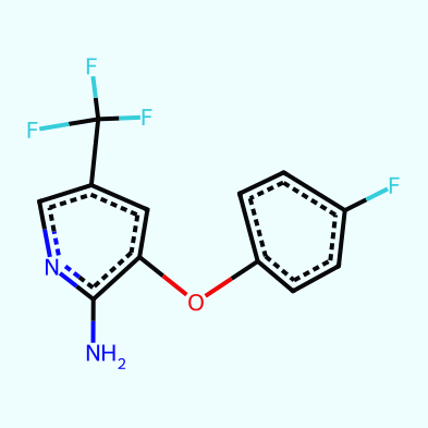 Nc1ncc(C(F)(F)F)cc1Oc1ccc(F)cc1